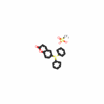 O=S(=O)([O-])C(F)(F)F.O=c1ccc2cc([S+](c3ccccc3)c3ccccc3)ccc2o1